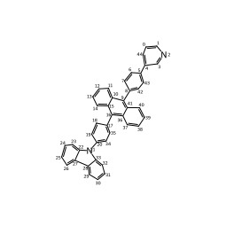 c1cncc(-c2ccc(-c3c4ccccc4c(-c4ccc(-n5c6ccccc6c6ccccc65)cc4)c4ccccc34)cc2)c1